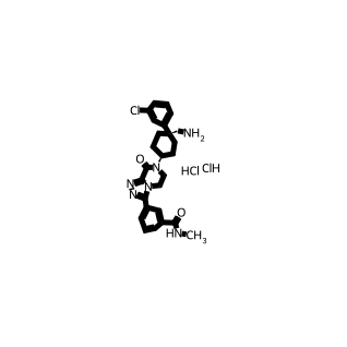 CNC(=O)c1cccc(-c2nnc3n2CCN([C@H]2CC[C@](CN)(c4cccc(Cl)c4)CC2)C3=O)c1.Cl.Cl